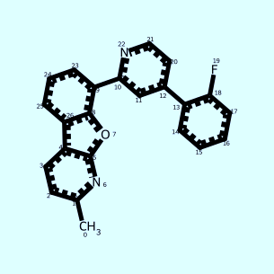 Cc1ccc2c(n1)oc1c(-c3cc(-c4ccccc4F)ccn3)cccc12